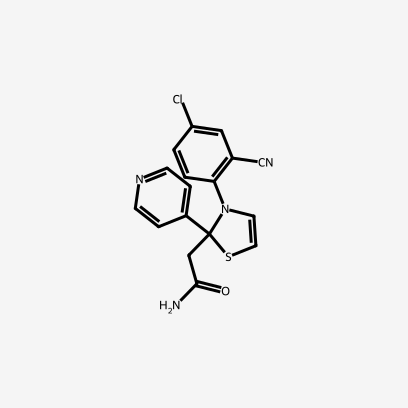 N#Cc1cc(Cl)ccc1N1C=CSC1(CC(N)=O)c1ccncc1